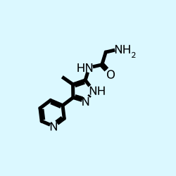 Cc1c(-c2cccnc2)n[nH]c1NC(=O)CN